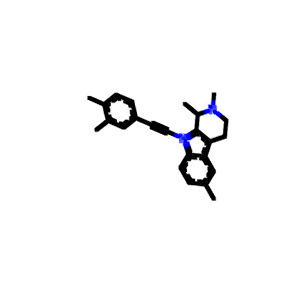 Cc1ccc2c(c1)c1c(n2C#Cc2ccc(C)c(C)c2)C(C)N(C)CC1